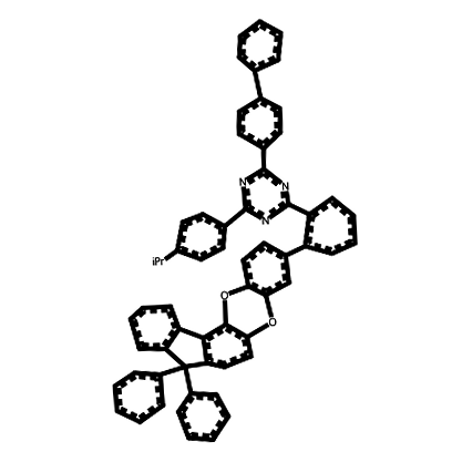 CC(C)c1ccc(-c2nc(-c3ccc(-c4ccccc4)cc3)nc(-c3ccccc3-c3ccc4c(c3)Oc3ccc5c(c3O4)-c3ccccc3C5(c3ccccc3)c3ccccc3)n2)cc1